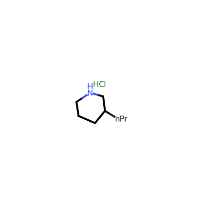 CCCC1CCCNC1.Cl